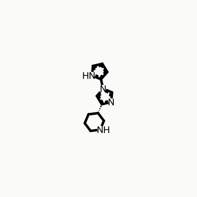 c1c[nH]c(-n2cnc([C@H]3CCCNC3)c2)c1